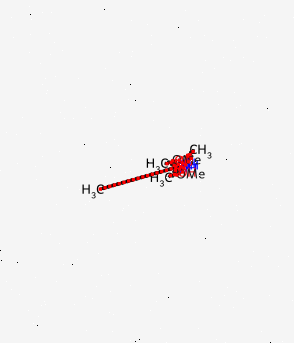 CC#CC#CC#CC#CC#CC#CC#CC#CC#CC#CC#CC#CC#CC#CC#CC#CC#CC(NC(=O)Oc1ccc(C=CC)cc1)(NC(O)Oc1ccc(C=CC)cc1OC)NC(O)Oc1ccc(C=CC)cc1OC